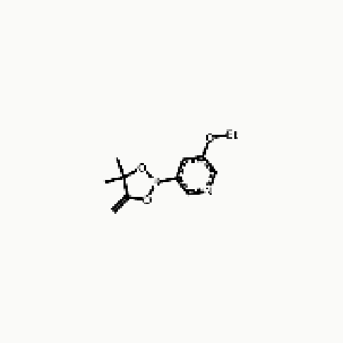 C=C1OB(c2cncc(OCC)c2)OC1(C)C